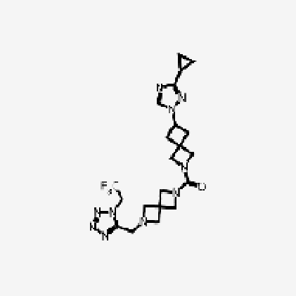 O=C(N1CC2(CC(n3cnc(C4CC4)n3)C2)C1)N1CC2(CN(Cc3nnnn3CC(F)(F)F)C2)C1